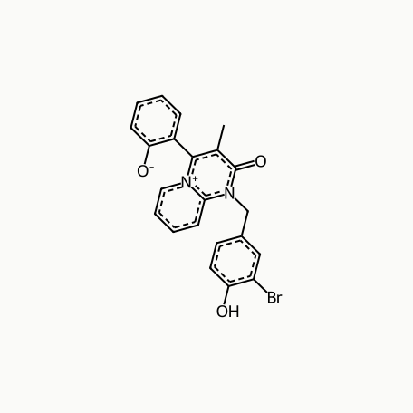 Cc1c(-c2ccccc2[O-])[n+]2ccccc2n(Cc2ccc(O)c(Br)c2)c1=O